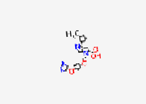 Cc1cccc(-c2nccc3c2cc(C(=O)O)n3CCOc2ccc(Oc3cncnc3)cc2)c1